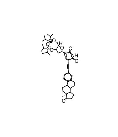 CC(C)[Si]1(C(C)C)OC[C@H]2O[C@@H](n3cc(C#Cc4ccc5c(c4)CCC4C5CC[C@]5(C)C(=O)CCC45)c(=O)[nH]c3=O)CC2O[Si](C(C)C)(C(C)C)O1